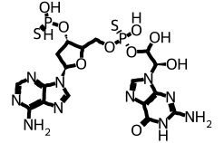 Nc1nc2c(ncn2[C@H](O)C(O)OP(O)(=S)OCC2O[C@@H](n3cnc4c(N)ncnc43)C[C@@H]2O[PH](O)=S)c(=O)[nH]1